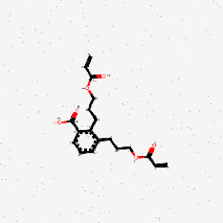 C=CC(=O)OCCCc1cccc(C(=O)O)c1CCCOC(=O)C=C